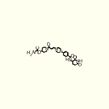 NC(=O)OC1CCN(C(=O)CCN2CCN(c3ccc(C(=O)NC4CCC(=O)NC4=O)cc3)CC2)CC1